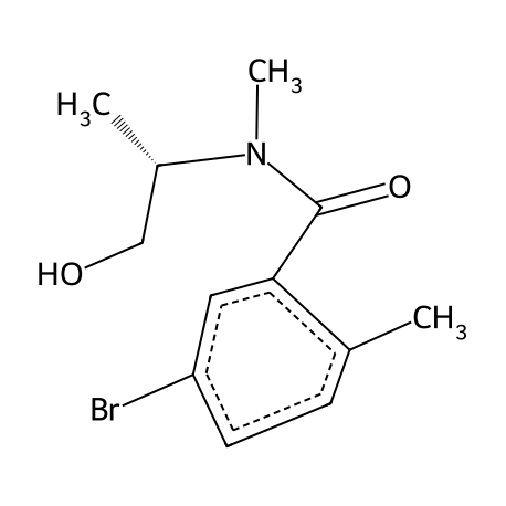 Cc1ccc(Br)cc1C(=O)N(C)[C@@H](C)CO